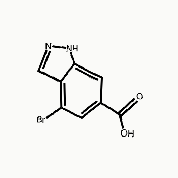 O=C(O)c1cc(Br)c2cn[nH]c2c1